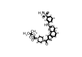 CC(C)(C)OC(=O)N1CCN(C(=O)c2cc3c(ccc4cnc(Nc5cccc(S(N)(=O)=O)c5)nc43)s2)CC1